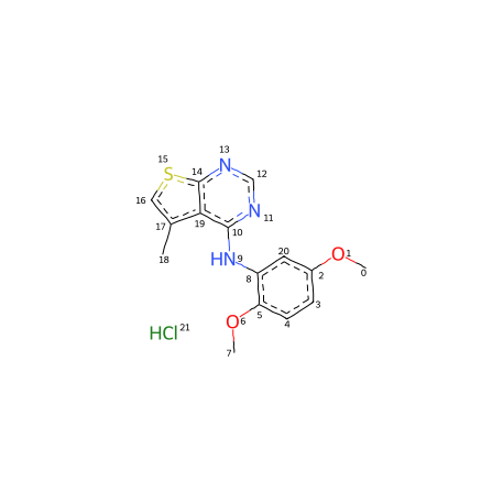 COc1ccc(OC)c(Nc2ncnc3scc(C)c23)c1.Cl